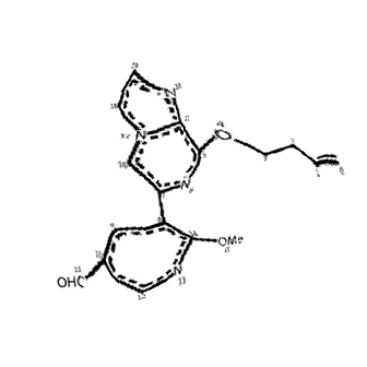 C=CCCOc1nc(-c2cc(C=O)cnc2OC)cn2ccnc12